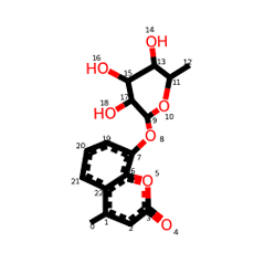 Cc1cc(=O)oc2c(OC3OC(C)C(O)C(O)C3O)cccc12